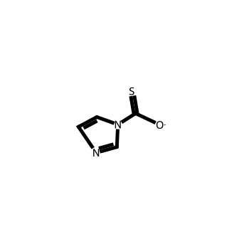 [O]C(=S)n1ccnc1